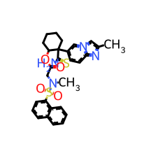 Cc1cn2cc(C3(C(N)=S)CCCCC3OC(=O)CN(C)S(=O)(=O)c3cccc4ccccc34)ccc2n1